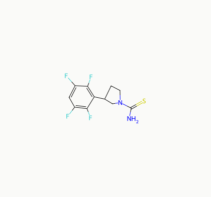 NC(=S)N1CCC(c2c(F)c(F)cc(F)c2F)C1